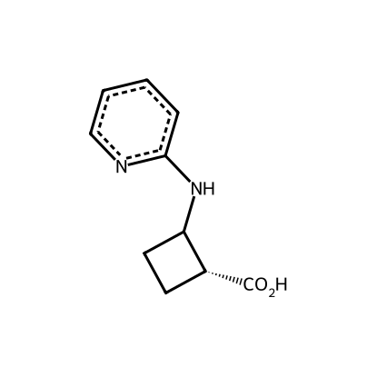 O=C(O)[C@@H]1CCC1Nc1ccccn1